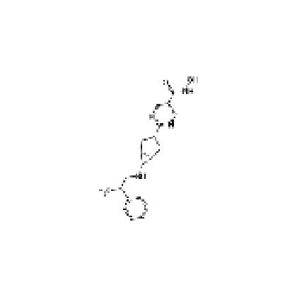 CC(CNC1C2CN(c3ncc(C(=O)NO)cn3)CC21)c1ccccc1